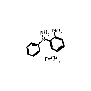 CF.Nc1ccccc1N(N)c1ccccc1